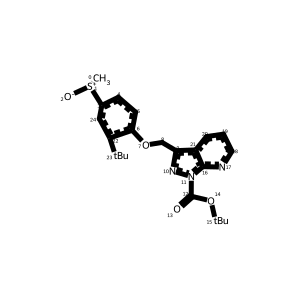 C[S+]([O-])c1ccc(OCc2nn(C(=O)OC(C)(C)C)c3ncccc23)c(C(C)(C)C)c1